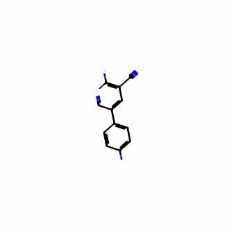 N#Cc1cc(-c2ccc(N)cc2)cnc1N